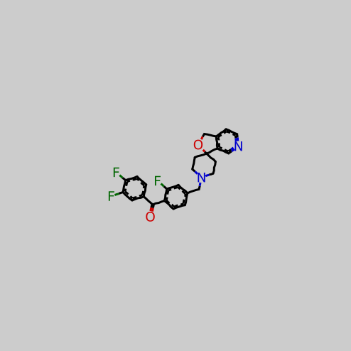 O=C(c1ccc(F)c(F)c1)c1ccc(CN2CCC3(CC2)OCc2ccncc23)cc1F